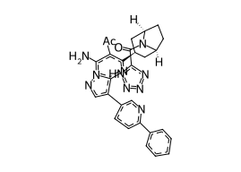 CC(=O)c1c([C@H]2C[C@H]3CC[C@@H](C2)N3C(=O)c2nnn[nH]2)nc2c(-c3ccc(-c4ccccc4)nc3)cnn2c1N